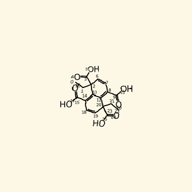 CCC1(C(=O)O)C=CC(C(=O)O)=C2C1=C(C(=O)O)C=CC2(CC)C(=O)O